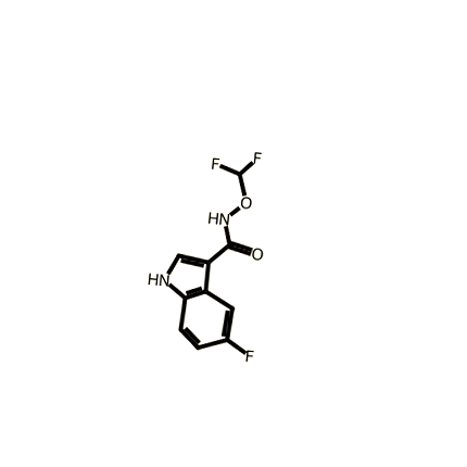 O=C(NOC(F)F)c1c[nH]c2ccc(F)cc12